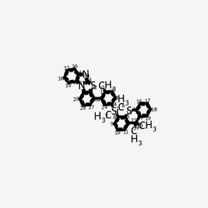 Cc1ccc([Si](C)(C)c2cccc3c2Sc2ccccc2C3(C)C)cc1-c1cccc2c1sc1nc3ccccc3n12